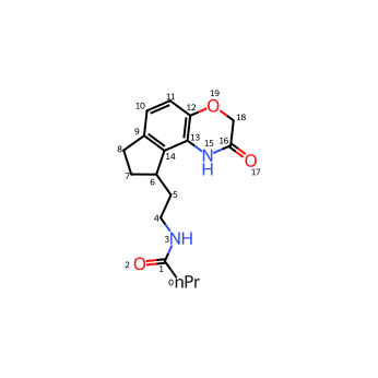 CCCC(=O)NCCC1CCc2ccc3c(c21)NC(=O)CO3